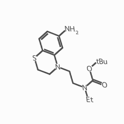 CCN(CCN1CCSc2ccc(N)cc21)C(=O)OC(C)(C)C